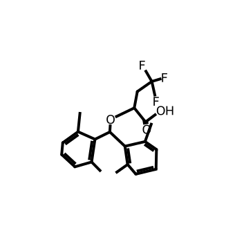 Cc1cccc(C)c1C(OC(CC(F)(F)F)C(=O)O)c1c(C)cccc1C